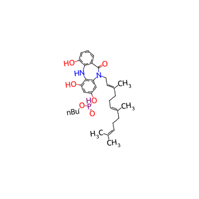 CCCCO[PH](=O)Oc1cc(O)c2c(c1)N(C/C=C(\C)CC/C=C(\C)CCC=C(C)C)C(=O)c1cccc(O)c1N2